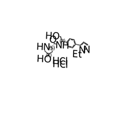 CCn1nccc1-c1ccc([C@H](CO)NC(=O)[C@@H]2C[C@@H](O)CN2)cc1.Cl.Cl